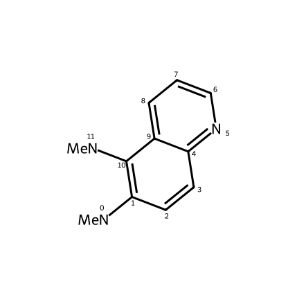 CNc1ccc2ncccc2c1NC